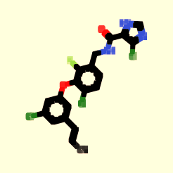 N#CC=Cc1cc(Cl)cc(Oc2c(Cl)ccc(CNC(=O)c3[nH]cnc3Cl)c2F)c1